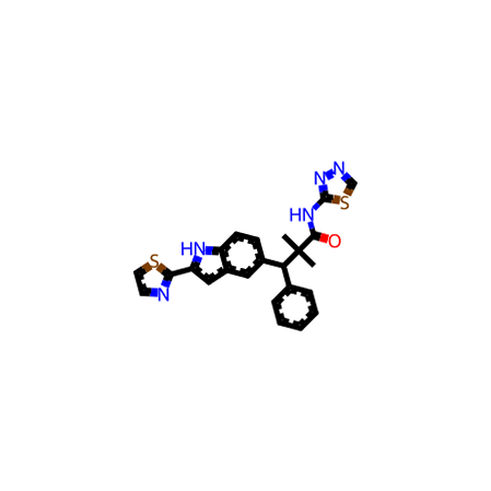 CC(C)(C(=O)Nc1nncs1)C(c1ccccc1)c1ccc2[nH]c(-c3nccs3)cc2c1